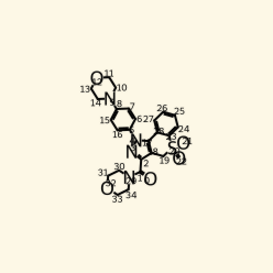 O=C(c1nn(-c2ccc(N3CCOCC3)cc2)c2c1CS(=O)(=O)c1ccccc1-2)N1CCOCC1